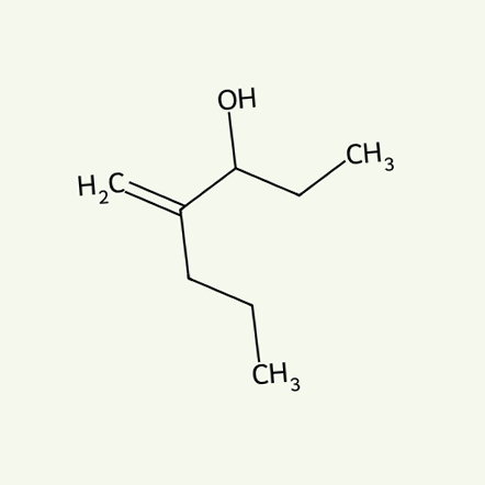 C=C(CCC)C(O)CC